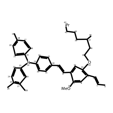 CC=Cc1cc(OC)c(C=Cc2ccc(N(c3ccc(C)cc3)c3ccc(C)c(C)c3)cc2)cc1OCCC(C)CCCC(C)C